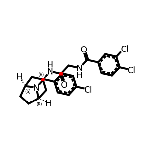 O=C(CNC(=O)c1ccc(Cl)c(Cl)c1)N[C@H]1C[C@H]2CC[C@@H](C1)N2Cc1ccc(Cl)cc1